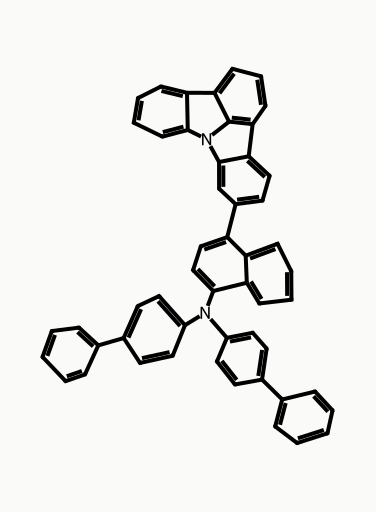 c1ccc(-c2ccc(N(c3ccc(-c4ccccc4)cc3)c3ccc(-c4ccc5c6cccc7c8ccccc8n(c5c4)c76)c4ccccc34)cc2)cc1